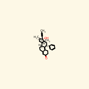 CC#C[C@]1(O)[C@H](C)C[C@H]2[C@@H]3CCC4=CC(=O)CCC4=C3[C@@H](c3ccccc3)C[C@@]21C